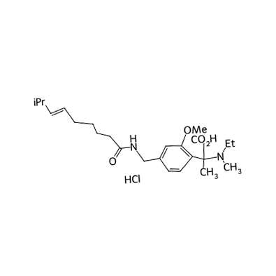 CCN(C)C(C)(C(=O)O)c1ccc(CNC(=O)CCCCC=CC(C)C)cc1OC.Cl